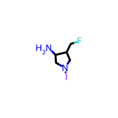 NC1CN(I)CC1CF